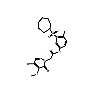 CSc1c(Cl)cnn(CC(=O)Nc2ccc(C)c(S(=O)(=O)N3CCCCCC3)c2)c1=O